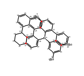 CC(C)(C)c1cc(N(c2cc(C(C)(C)C)ccc2-c2ccccc2)c2ccccc2-c2cccc3cccc(C4CCCCC4)c23)cc(C(C)(C)C)c1